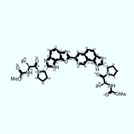 COC(=O)N[C@H](C(=O)N1CCC[C@H]1c1nc2ccc3cc(-c4nc5ccc6nc([C@@H]7CCCN7C(=O)[C@@H](NC(=O)OC)C(C)C)[nH]c6c5o4)ncc3c2[nH]1)C(C)C